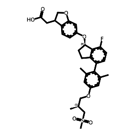 Cc1cc(OC[C@H](C)CS(C)(=O)=O)cc(C)c1-c1ccc(F)c2c1CC[C@H]2Oc1ccc2c(c1)OCC2CC(=O)O